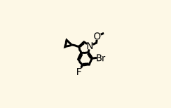 COCn1cc(C2CC2)c2cc(F)cc(Br)c21